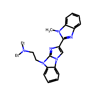 CCN(CC)CCn1c2ccccc2n2cc(-c3nc4ccccc4n3C)nc12